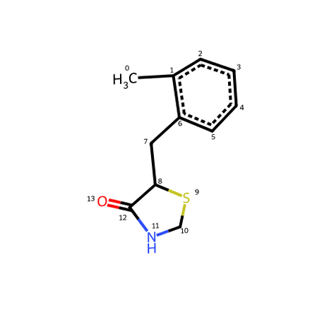 Cc1ccccc1CC1SCNC1=O